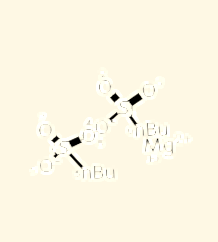 CCCCS(=O)(=O)[O-].CCCCS(=O)(=O)[O-].[Mg+2]